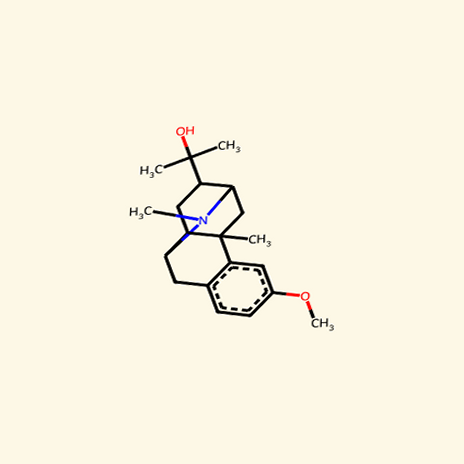 COc1ccc2c(c1)C1(C)CC3C(C(C)(C)O)CC1C(C2)N3C